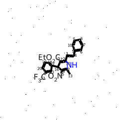 CCOC(=O)C1=C(C=Cc2ccccc2)NC(C)=C([N+](=O)[O-])C1c1cccc(C(F)(F)F)c1